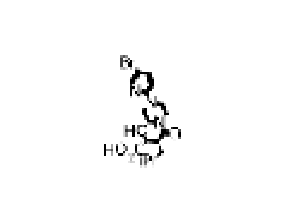 CC(C)C[C@H](C(=O)N1CCN(c2ccc(Br)cn2)CC1)[C@@H](O)C(=O)O